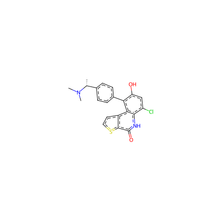 C[C@H](c1ccc(-c2c(O)cc(Cl)c3[nH]c(=O)c4sccc4c23)cc1)N(C)C